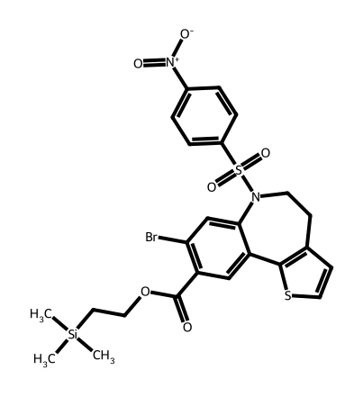 C[Si](C)(C)CCOC(=O)c1cc2c(cc1Br)N(S(=O)(=O)c1ccc([N+](=O)[O-])cc1)CCc1ccsc1-2